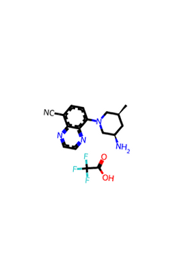 C[C@H]1C[C@@H](N)CN(c2ccc(C#N)c3nccnc23)C1.O=C(O)C(F)(F)F